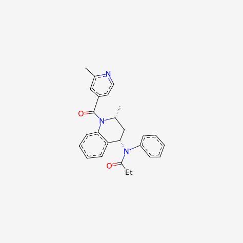 CCC(=O)N(c1ccccc1)[C@H]1C[C@@H](C)N(C(=O)c2ccnc(C)c2)c2ccccc21